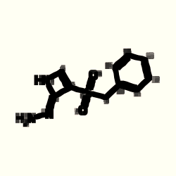 NN=C1NC=C1S(=O)(=O)Cc1ccccc1